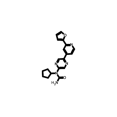 NC(=O)N(c1cnc(-c2ccnc(-c3ccco3)c2)cn1)C1CCCC1